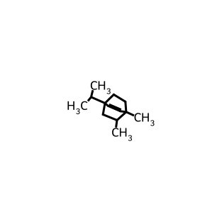 CC1CC2(C(C)C)C=CC1(C)CC2